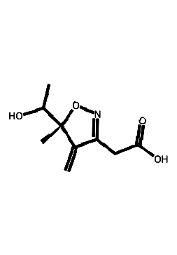 C=C1C(CC(=O)O)=NO[C@@]1(C)C(C)O